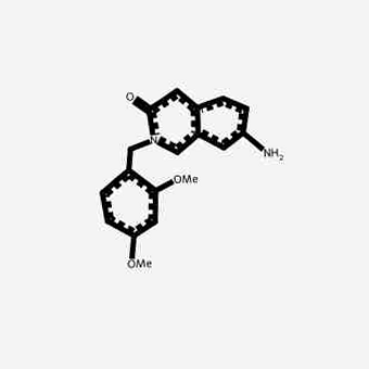 COc1ccc(Cn2cc3cc(N)ccc3cc2=O)c(OC)c1